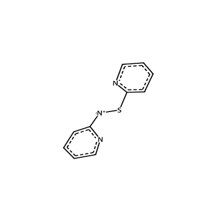 c1ccc([N+]Sc2ccccn2)nc1